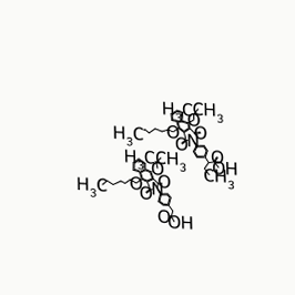 CCCCCCOc1c2c(c(OC(C)C)c3ccccc13)C(=O)N(c1ccc(C(CC)C(=O)O)cc1)C2=O.CCCCCCOc1c2c(c(OC(C)C)c3ccccc13)C(=O)N(c1ccc(CC(=O)O)cc1)C2=O